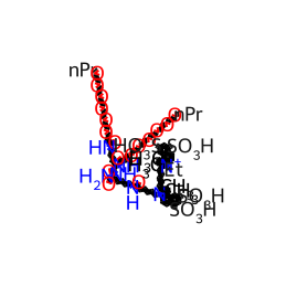 CCCOCCOCCOCCOCCOCCOCCC(=O)NCCCC[C@@H](NC(=O)CCOCCOCCOCCOCCOCCOCCC)C(=O)NC(CCCCNC(=O)CCCCCN1/C(=C/C=C/C=C/C2=[N+](CC)c3ccc4c(S(=O)(=O)O)cc(S(=O)(=O)O)cc4c3C2(C)C)C(C)(C)c2c1ccc1c(S(=O)(=O)O)cc(S(=O)(=O)O)cc21)C(N)=O